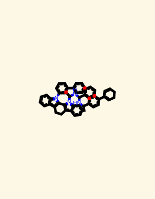 CC(NC(NC(C)n1c2c(c3ccccc31)CCc1c-2n(-c2cccc(-c3ccccc3)c2)c2ccccc12)c1ccccc1)c1ccc(C2=CCCC=C2)cc1